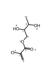 C=C(Cl)C(=O)OCC(O)C(C)O